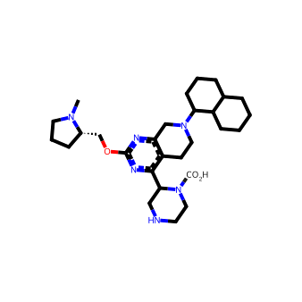 CN1CCC[C@H]1COc1nc2c(c(C3CNCCN3C(=O)O)n1)CCN(C1CCCC3CCCCC31)C2